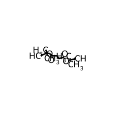 C#CC(C)(C)OC(=O)CCC(=O)OC(C)(C)C#C